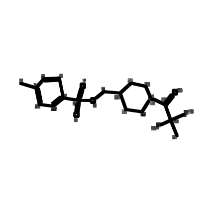 Cc1ccc(S(=O)(=O)OCC2CCN(C(=O)C(C)(F)F)CC2)cc1